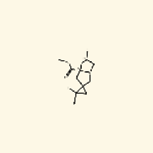 COC(=O)[C@]12C[C@@H](F)CN1CC1(CC1(F)F)C2